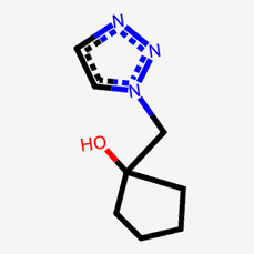 OC1(Cn2ccnn2)CCCC1